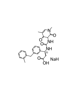 CC1=CN(C)C(=O)C(NC(=O)N[C@@H](CC(=O)O)c2cccc(Cc3ccccc3C)c2)C1=O.[NaH]